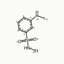 CCNS(=O)(=O)c1cccc(NI)c1